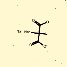 CC(C)(C(=O)[O-])C(=O)[O-].[Na+].[Na+]